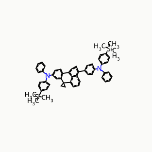 C[Si](C)(C)c1ccc(N(c2ccccc2)c2ccc(-c3ccc4c5c(cccc35)C3(CC3)c3cc(N(c5ccccc5)c5ccc([Si](C)(C)C)cc5)ccc3-4)cc2)cc1